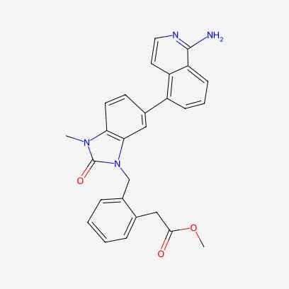 COC(=O)Cc1ccccc1Cn1c(=O)n(C)c2ccc(-c3cccc4c(N)nccc34)cc21